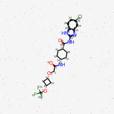 O=C(CO[C@H]1C[C@@H](OC(F)(F)F)C1)N[C@H]1CC[C@H](C(=O)Nc2nc3cc(Cl)ccc3[nH]2)CC1